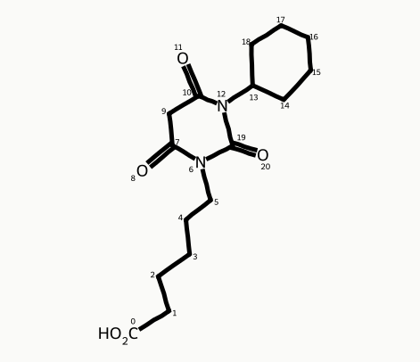 O=C(O)CCCCCN1C(=O)CC(=O)N(C2CCCCC2)C1=O